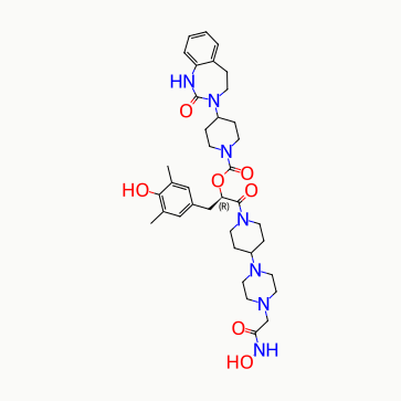 Cc1cc(C[C@@H](OC(=O)N2CCC(N3CCc4ccccc4NC3=O)CC2)C(=O)N2CCC(N3CCN(CC(=O)NO)CC3)CC2)cc(C)c1O